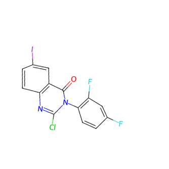 O=c1c2cc(I)ccc2nc(Cl)n1-c1ccc(F)cc1F